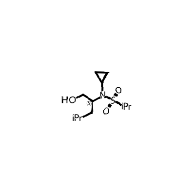 CC(C)C[C@@H](CO)N(C1CC1)S(=O)(=O)C(C)C